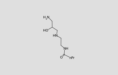 CCCC(=O)NCCNCC(O)CN